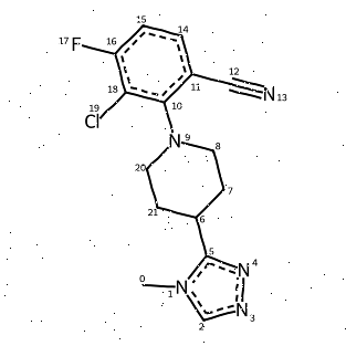 Cn1cnnc1C1CCN(c2c(C#N)ccc(F)c2Cl)CC1